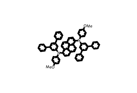 COc1ccc(N(c2cc(-c3ccccc3)cc(-c3ccccc3)c2)c2ccc3ccc4c(N(c5ccc(OC)cc5)c5cc(-c6ccccc6)cc(-c6ccccc6)c5)ccc5ccc2c3c54)cc1